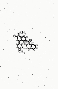 CCn1c(=O)cc(C2=CCN(C)CC2)c2cc(C(=O)N3CCCc4ccccc43)ccc21